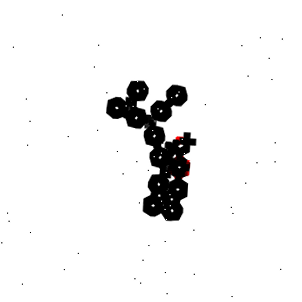 CC(C)(C)CC(c1ccc(-c2ccc3c(c2)C2(c4ccccc4-3)c3ccccc3-c3ccc(-n4c5ccccc5c5cc(-c6ccc(N(c7ccc(-c8ccccc8)cc7)c7ccc8c9ccccc9n(-c9ccccc9)c8c7)cc6)ccc54)cc32)cc1)C(C)(C)C